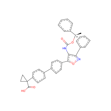 C[C@@H](OC(=O)Nc1c(-c2ccccc2)noc1-c1ccc(-c2ccc(C3(C(=O)O)CC3)cc2)cc1)c1ccccc1